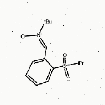 CC(C)S(=O)(=O)c1ccccc1C=[N+]([O-])C(C)(C)C